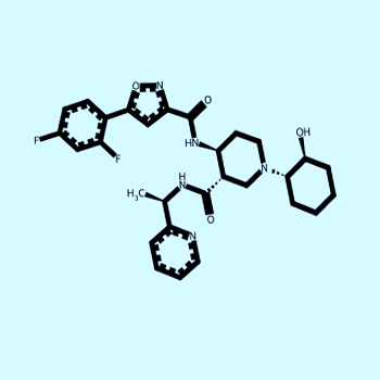 C[C@@H](NC(=O)[C@H]1CN([C@H]2CCCC[C@@H]2O)CC[C@@H]1NC(=O)c1cc(-c2ccc(F)cc2F)on1)c1ccccn1